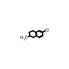 CC1CCc2cc(Cl)ccc2C1